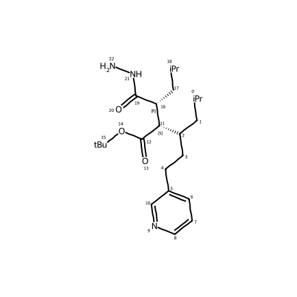 CC(C)CC(CCc1cccnc1)[C@H](C(=O)OC(C)(C)C)[C@@H](CC(C)C)C(=O)NN